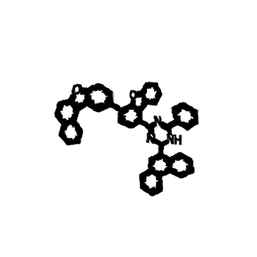 c1ccc(C2=NC(c3ccc(-c4ccc5oc6ccc7ccccc7c6c5c4)c4oc5ccccc5c34)=NC(c3cc4ccccc4c4ccccc34)N2)cc1